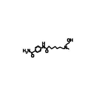 CN(CCO)CCCCCCC(=O)Nc1ccc(C(N)=O)cc1